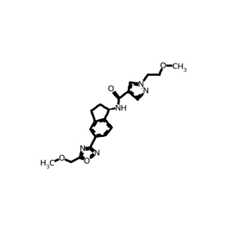 COCCn1cc(C(=O)N[C@@H]2CCc3cc(-c4noc(COC)n4)ccc32)cn1